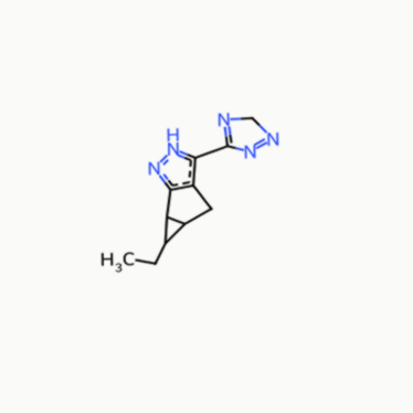 CCC1C2Cc3c(n[nH]c3C3=NCN=N3)C12